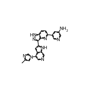 Cc1cn(-c2cncc3[nH]c(-c4n[nH]c5ccc(-c6cncc(N)c6)nc45)cc23)cn1